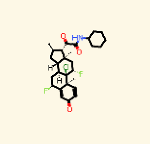 C[C@@H]1C[C@H]2[C@@H]3C[C@H](F)C4=CC(=O)C=C[C@]4(C)[C@@]3(Cl)[C@@H](F)C[C@]2(C)[C@H]1C(=O)C(=O)NC1CCCCC1